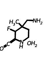 CC1(CN)CCNC(=C=O)C1F.O